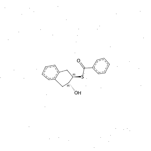 O=C(S[C@@H]1Cc2ccccc2C[C@H]1O)c1ccccc1